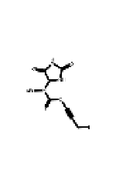 CCCCN(C(=O)OC#CCI)C1NC(=O)NC1=O